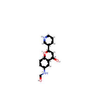 O=CNc1ccc2oc(-c3cccnc3)cc(=O)c2c1